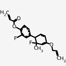 C=CCOC1=CC(C)(F)C(c2ccc(OC(=O)C=C)c(F)c2)C=C1